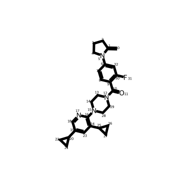 C=C1CCCN1c1ccc(C(=O)N2CCN(c3ncc(C4CC4)cc3C3CC3)CC2)c(F)c1